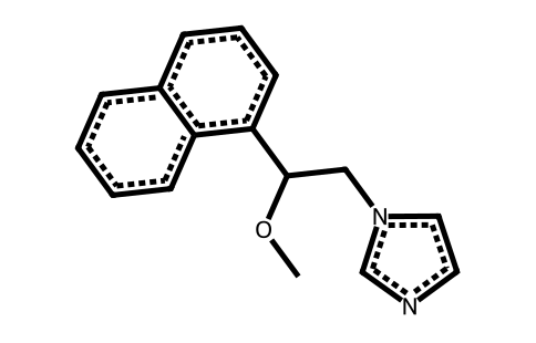 COC(Cn1ccnc1)c1cccc2ccccc12